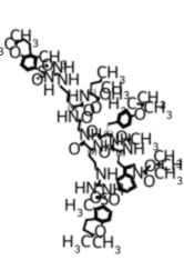 CC(=O)N[C@@H](Cc1cn(C(=O)OC(C)(C)C)c2ccccc12)C(=O)N[C@@H](Cc1ccc(OC(C)(C)C)cc1)C(=O)N[C@@H](CCCNC(=N)NS(=O)(=O)c1ccc2c(c1C)CCC(C)(C)O2)C(=O)NCC(=O)N[C@@H](CCCNC(=N)NS(=O)(=O)c1ccc2c(c1C)CCC(C)(C)O2)C(=O)N[C@@H](CC(C)C)C(=O)O